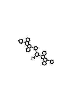 [C-]#[N+]c1cc(-c2cccc(-c3cc4c5ccccc5c(-c5ccccc5)cc4c4ccccc34)c2)cc(-c2cc3c4ccccc4c(-c4ccccc4)cc3c3ccccc23)c1